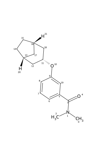 CN(C)C(=O)c1cccc(O[C@@H]2C[C@@H]3CC[C@@H](C3)C2)c1